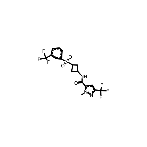 Cn1nc(C(F)(F)F)cc1C(=O)NC1CC(S(=O)(=O)c2cccc(C(F)(F)F)c2)C1